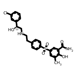 Cc1cc(S(=O)(=O)c2ccc(CCNC[C@@H](O)c3cccc(Cl)c3)cc2)cc(C(N)=O)c1O